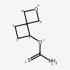 NC(=S)OC1CCC12COC2